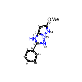 COc1cc2[nH]c(-c3ccccc3)nn2n1